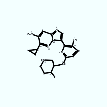 COc1cc2ncc(-c3nc(NC4CNCCC4F)ccc3C#N)n2nc1C1CC1